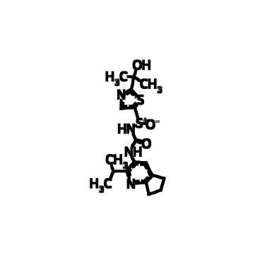 CC(C)c1nc2c(cc1NC(=O)N[S+]([O-])c1cnc(C(C)(C)O)s1)CCC2